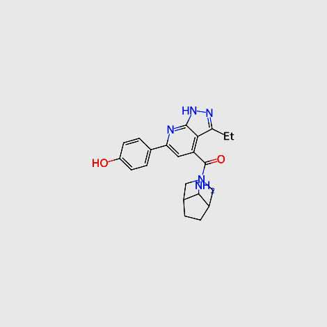 CCc1n[nH]c2nc(-c3ccc(O)cc3)cc(C(=O)N3CC4CCC(C3)C4N)c12